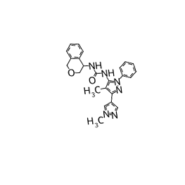 Cc1c(-c2cnn(C)c2)nn(-c2ccccc2)c1NC(=O)NC1COCc2ccccc21